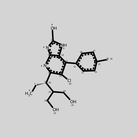 CC[C@H](c1nc2nc(O)[nH]c2c(-c2ccc(F)cc2)c1Cl)C(CO)CO